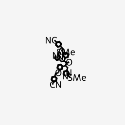 CSc1nccc(CC(C(=O)C(Cc2ccnc(SC)n2)c2cccc(OCc3ccc(C#N)cc3)c2)c2cccc(OCc3ccc(C#N)cc3)c2)n1